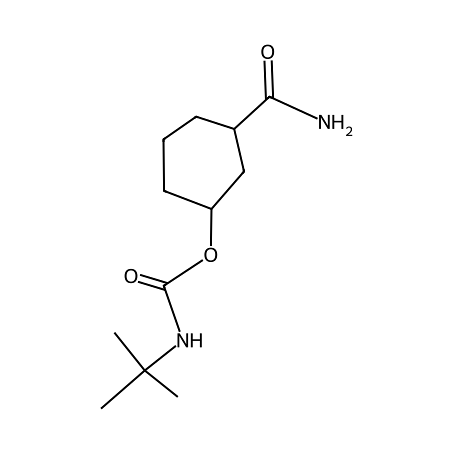 CC(C)(C)NC(=O)OC1CCCC(C(N)=O)C1